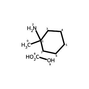 CC1(N)CCCCC1.O=C(O)O